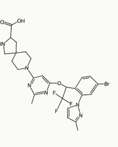 Cc1ccn(-c2cc(Br)ccc2C(Oc2cc(N3CCC4(CC3)CNC(C(=O)O)C4)nc(C)n2)C(F)(F)F)n1